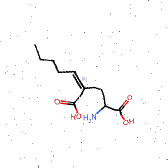 CCCC/C=C(/CC(N)C(=O)O)C(=O)O